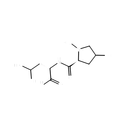 CC(C)C[C@H](NC(=O)[C@@H]1CC(O)CN1C)C(=O)O